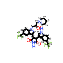 O=C1NC(=O)C(c2cn(CC(O)CN3CCCCC3)c3ccc(C(F)(F)F)cc23)=C1c1c[nH]c2ccc(C(F)(F)F)cc12